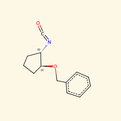 O=C=N[C@H]1CCC[C@@H]1OCc1ccccc1